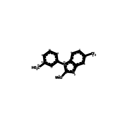 COc1nc2cc(C(F)(F)F)ccc2n1-c1cccc(C(=O)O)c1